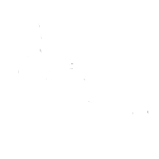 O=C1C=CCCN1c1ccc(N2CCCC(O)C2)nc1